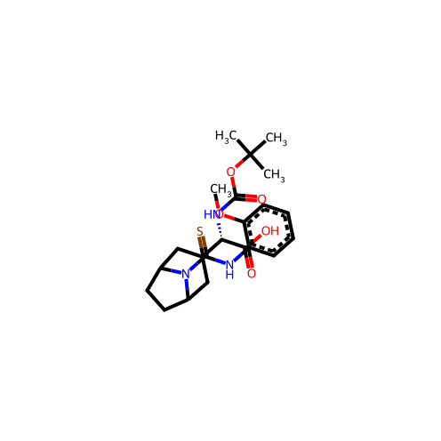 COc1ccccc1NC(=S)N1C2CCC1CC([C@H](NC(=O)OC(C)(C)C)C(=O)O)C2